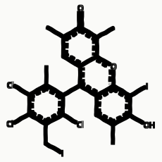 Cc1cc2c(-c3c(C)c(Cl)c(Cl)c(CI)c3Cl)c3cc(C)c(=O)c(C)c-3oc2c(I)c1O